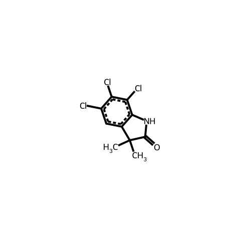 CC1(C)C(=O)Nc2c1cc(Cl)c(Cl)c2Cl